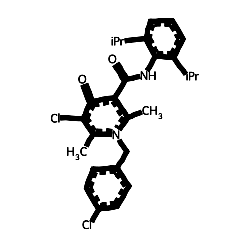 Cc1c(Cl)c(=O)c(C(=O)Nc2c(C(C)C)cccc2C(C)C)c(C)n1Cc1ccc(Cl)cc1